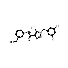 Cc1c(C(=O)Nc2cccc(CO)c2)nnn1Cc1cc(Cl)cc(Cl)c1